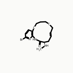 CN[C@H]1C/C=C/CCCCCCc2ccc(Br)nc2NC1=O